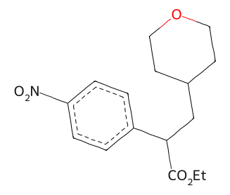 CCOC(=O)C(CC1CCOCC1)c1ccc([N+](=O)[O-])cc1